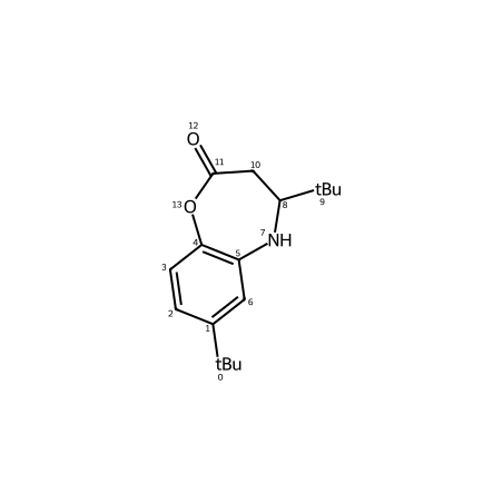 CC(C)(C)c1ccc2c(c1)NC(C(C)(C)C)CC(=O)O2